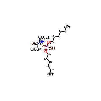 CC(C)CCCCCOP(=S)(S)OCCCCCC(C)C.CCOC(=O)NC(=S)OCC(C)C